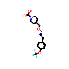 O=C(O)N1CCC(CON=CCc2ccc(OC(F)(F)F)cc2)CC1